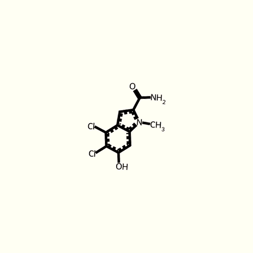 Cn1c(C(N)=O)cc2c(Cl)c(Cl)c(O)cc21